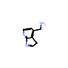 NCc1ccnc2c1CC=N2